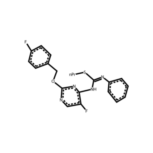 CCCS/C(=N/c1ccccc1)Nc1nc(OCc2ccc(F)cc2)ncc1F